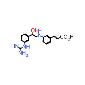 N=C(N)Nc1cccc(C(O)CNc2cccc(/C=C/C(=O)O)c2)c1